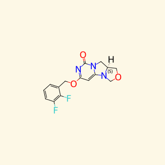 O=c1nc(OCc2cccc(F)c2F)cc2n1C[C@H]1COCN21